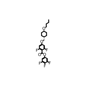 CCCCO[C@H]1CC[C@H](COc2cc(F)c(C(=O)Oc3cc(F)c(F)c(F)c3)c(F)c2)CC1